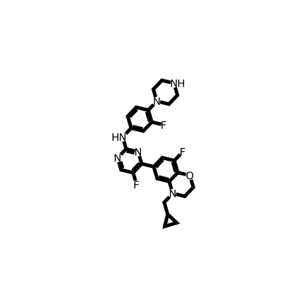 Fc1cc(Nc2ncc(F)c(-c3cc(F)c4c(c3)N(CC3CC3)CCO4)n2)ccc1N1CCNCC1